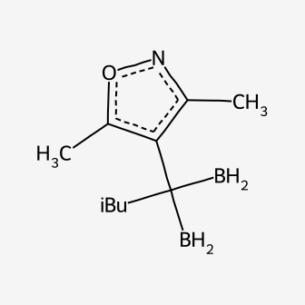 BC(B)(c1c(C)noc1C)C(C)CC